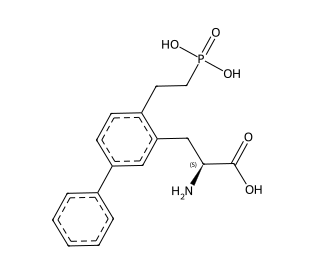 N[C@@H](Cc1cc(-c2ccccc2)ccc1CCP(=O)(O)O)C(=O)O